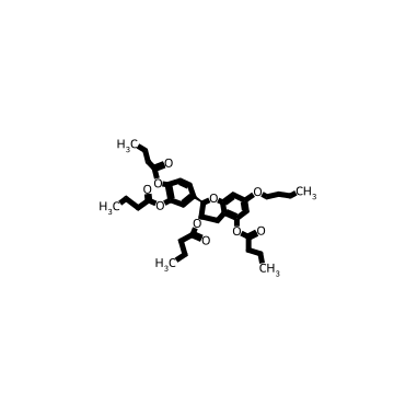 CCCCOc1cc(OC(=O)CCC)c2c(c1)O[C@H](c1ccc(OC(=O)CCC)c(OC(=O)CCC)c1)[C@H](OC(=O)CCC)C2